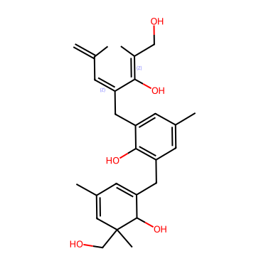 C=C(C)/C=C(Cc1cc(C)cc(CC2=CC(C)=CC(C)(CO)C2O)c1O)\C(O)=C(/C)CO